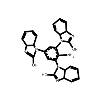 Nc1c(N2C(O)=NC3C=CC=CC32)cc(N2C(O)=NC3C=CC=CC32)cc1N1C(O)=NC2C=CC=CC21